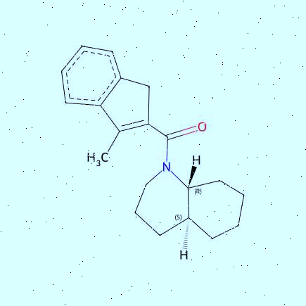 CC1=C(C(=O)N2CCC[C@@H]3CCCC[C@H]32)Cc2ccccc21